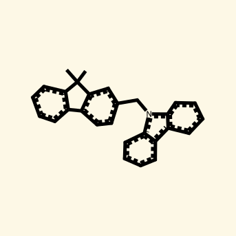 CC1(C)c2ccccc2-c2ccc(Cn3c4ccccc4c4ccccc43)cc21